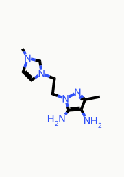 Cc1nn(CCN2C=CN(C)C2)c(N)c1N